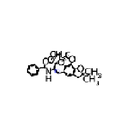 COC(=O)/C(=C\c1cc2c(c(OC)c1)OC(C)(C)C2)NC(=O)c1ccccc1